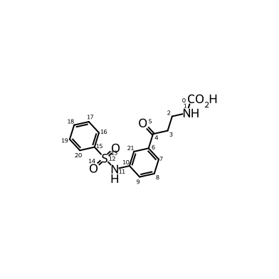 O=C(O)NCCC(=O)c1cccc(NS(=O)(=O)c2ccccc2)c1